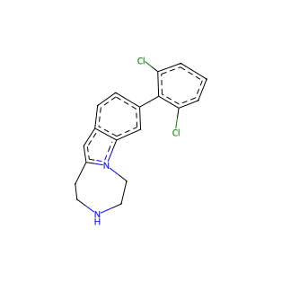 Clc1cccc(Cl)c1-c1ccc2cc3n(c2c1)CCNCC3